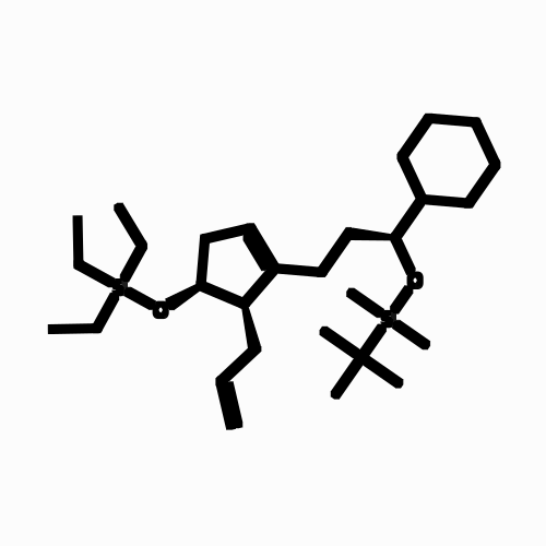 C=CC[C@@H]1C(CC[C@H](O[Si](C)(C)C(C)(C)C)C2CCCCC2)=CC[C@@H]1O[Si](CC)(CC)CC